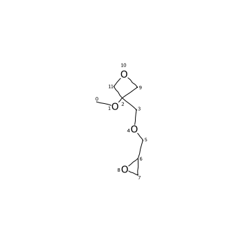 COC1(COCC2CO2)COC1